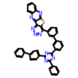 c1ccc(-c2ccc(-c3nc(-c4ccccc4)nc(-c4cccc(-c5cccc(-c6nnnc7c6sc6nc8ccccc8nc67)c5)c4)n3)cc2)cc1